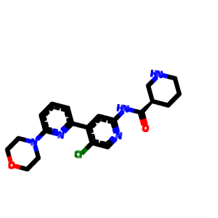 O=C(Nc1cc(-c2cccc(N3CCOCC3)n2)c(Cl)cn1)[C@@H]1CCCNC1